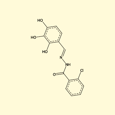 O=C(NN=Cc1ccc(O)c(O)c1O)c1ccccc1Cl